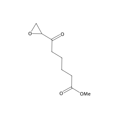 COC(=O)CCCCC(=O)C1CO1